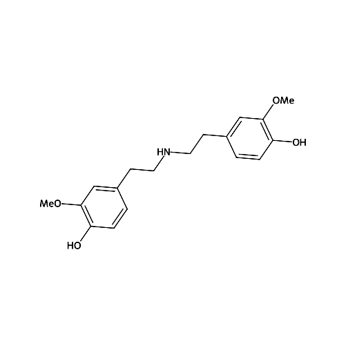 COc1cc(CCNCCc2ccc(O)c(OC)c2)ccc1O